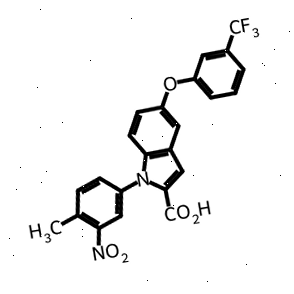 Cc1ccc(-n2c(C(=O)O)cc3cc(Oc4cccc(C(F)(F)F)c4)ccc32)cc1[N+](=O)[O-]